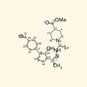 COC(=O)C1CCN(C(=S)N/N=C(/C)c2csc(-c3ccc(C(C)(C)C)cc3)c2O)CC1